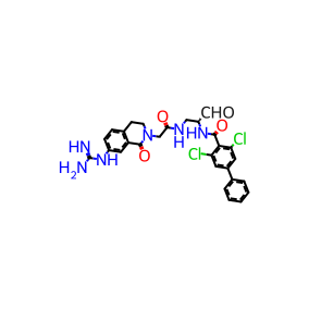 N=C(N)Nc1ccc2c(c1)C(=O)N(CC(=O)NC[C@@H](C=O)NC(=O)c1c(Cl)cc(-c3ccccc3)cc1Cl)CC2